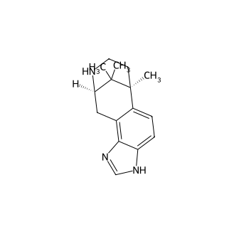 CC1(C)[C@H]2Cc3c(ccc4[nH]cnc34)[C@]1(C)CCN2